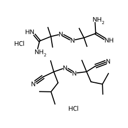 CC(C)(N=NC(C)(C)C(=N)N)C(=N)N.CC(C)CC(C)(C#N)N=NC(C)(C#N)CC(C)C.Cl.Cl